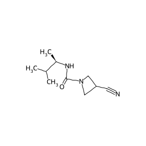 CC(C)[C@@H](C)NC(=O)N1CC(C#N)C1